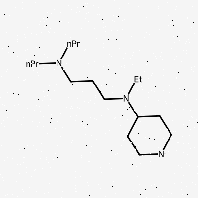 CCCN(CCC)CCCN(CC)C1CC[N]CC1